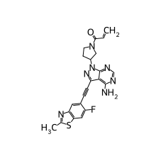 C=CC(=O)N1CCC(n2nc(C#Cc3cc4nc(C)sc4cc3F)c3c(N)ncnc32)C1